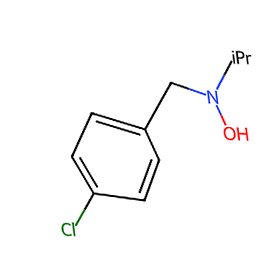 CC(C)N(O)Cc1ccc(Cl)cc1